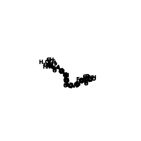 CC(C)(c1n[nH]c(CNC(=O)[C@H]2C[C@@H]2c2ccc(-c3cnn(-c4ccc(C(=O)N5CCC(CN6CCN(c7cc8c(cc7F)C(=O)N(C7CCC(=O)NC7=O)C8=O)CC6)CC5)cc4)c3)cc2)n1)C(F)(F)F